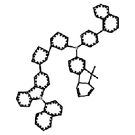 CC1(C)c2cc(N(c3ccc(-c4cccc5ccccc45)cc3)c3cccc(-c4cccc(-c5ccc6c(c5)c5ccccc5n6-c5cccc6ccccc56)c4)c3)ccc2C2C=CC=CC21